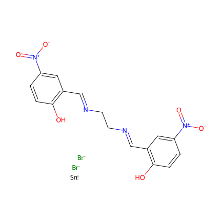 O=[N+]([O-])c1ccc(O)c(C=NCCN=Cc2cc([N+](=O)[O-])ccc2O)c1.[Br-].[Br-].[Sn]